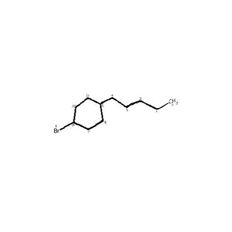 CCCCCC1CCC(Br)CC1